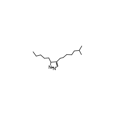 CCCCCC1N=NC=C1CCCCCC(C)C